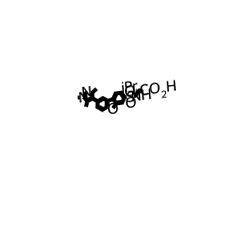 Cc1nn(C)c(C)c1-c1ccc2oc3cc(S(=O)(=O)N[C@H](C(=O)O)C(C)C)ccc3c2c1